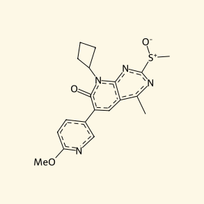 COc1ccc(-c2cc3c(C)nc([S+](C)[O-])nc3n(C3CCC3)c2=O)cn1